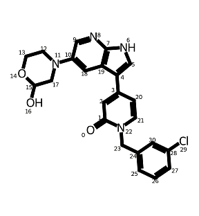 O=c1cc(-c2c[nH]c3ncc(N4CCOC(O)C4)cc23)ccn1Cc1cccc(Cl)c1